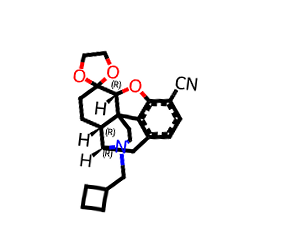 N#Cc1ccc2c3c1O[C@H]1C4(CC[C@H]5[C@@H](C2)N(CC2CCC2)CCC351)OCCO4